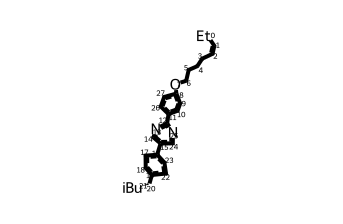 CC/C=C\CCCCOc1ccc(-c2ncc(-c3ccc(C[C@@H](C)CC)cc3)cn2)cc1